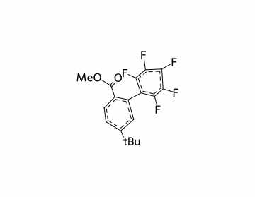 COC(=O)c1ccc(C(C)(C)C)cc1-c1c(F)c(F)c(F)c(F)c1F